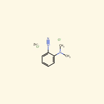 CN(C)c1ccccc1[N+]#N.[Cl-].[Cl-].[Zn+]